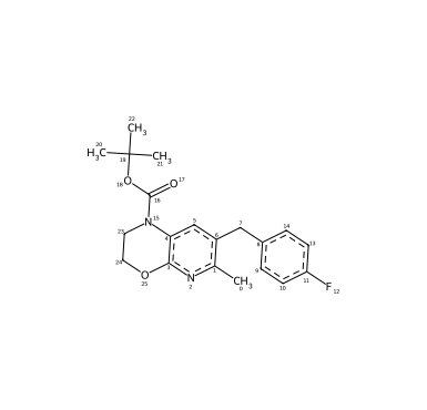 Cc1nc2c(cc1Cc1ccc(F)cc1)N(C(=O)OC(C)(C)C)CCO2